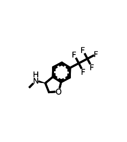 CN[C@@H]1COc2cc(C(F)(F)C(F)(F)F)ccc21